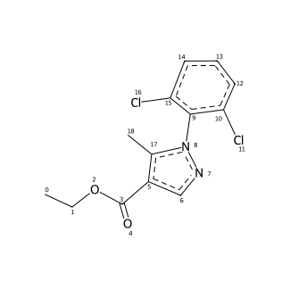 CCOC(=O)c1cnn(-c2c(Cl)cccc2Cl)c1C